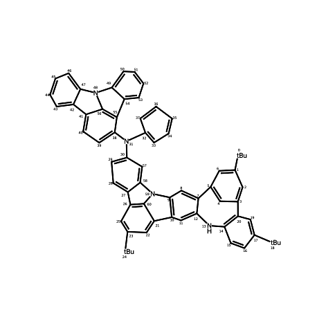 CC(C)(C)c1cc2cc(c1)c1cc3c(cc1[nH]c1ccc(C(C)(C)C)cc21)c1cc(C(C)(C)C)cc2c4ccc(N(c5ccccc5)c5ccc6c7ccccc7n7c8ccccc8c5c67)cc4n3c21